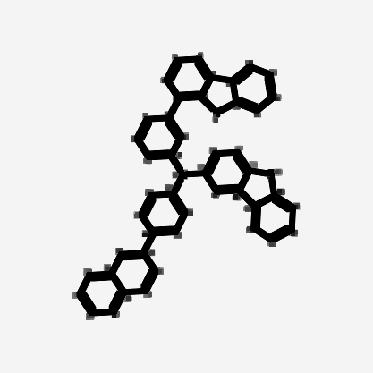 c1cc(-c2cccc3c2sc2ccccc23)cc(N(c2ccc(-c3ccc4ccccc4c3)cc2)c2ccc3sc4ccccc4c3c2)c1